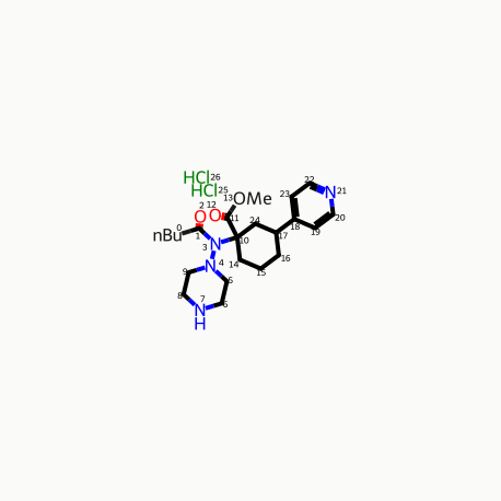 CCCCC(=O)N(N1CCNCC1)C1(C(=O)OC)CCCC(c2ccncc2)C1.Cl.Cl